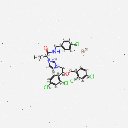 CC(C(=O)NCc1ccc(Cl)cc1)[n+]1ccn(CC(OCc2ccc(Cl)cc2Cl)c2ccc(Cl)cc2Cl)c1.[Br-]